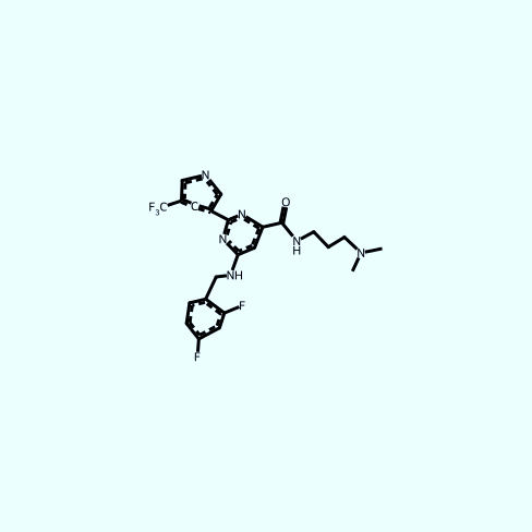 CN(C)CCCNC(=O)c1cc(NCc2ccc(F)cc2F)nc(-c2cncc(C(F)(F)F)c2)n1